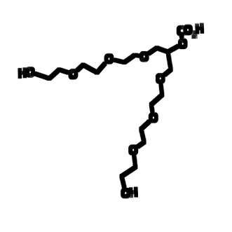 O=C(O)OC(COCCOCCOCCO)COCCOCCOCCO